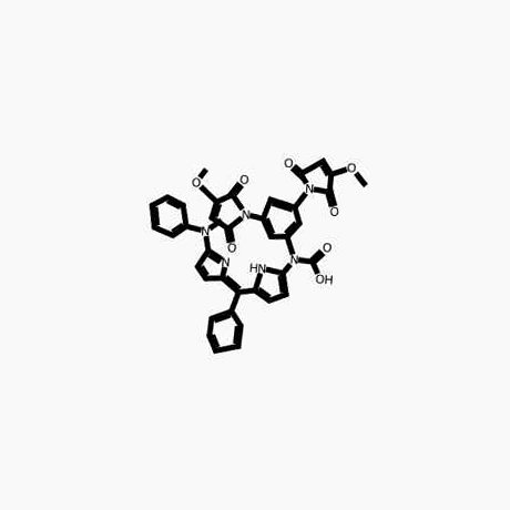 COC1=CC(=O)N(c2cc(N3C(=O)C=C(OC)C3=O)cc(N(C(=O)O)c3ccc(C(=C4C=CC(N(C)c5ccccc5)=N4)c4ccccc4)[nH]3)c2)C1=O